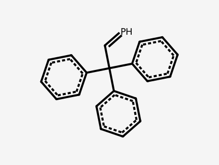 P=CC(c1ccccc1)(c1ccccc1)c1ccccc1